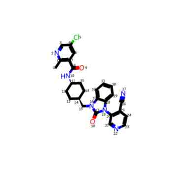 Cc1ncc(Cl)cc1C(=O)N[C@H]1CC[C@H](Cn2c(=O)n(-c3cnccc3C#N)c3ccccc32)CC1